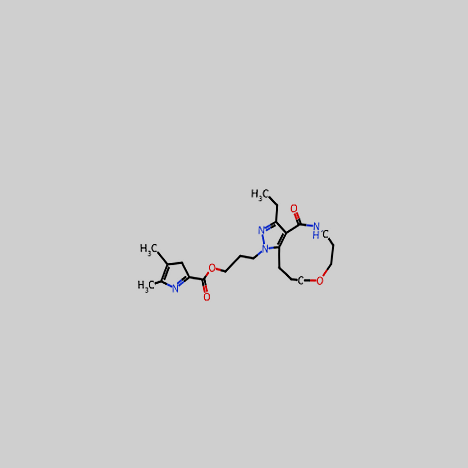 CCc1nn(CCCOC(=O)C2=NC(C)=C(C)C2)c2c1C(=O)NCCCOCCC2